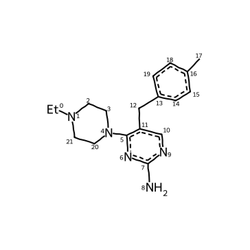 CCN1CCN(c2nc(N)ncc2Cc2ccc(C)cc2)CC1